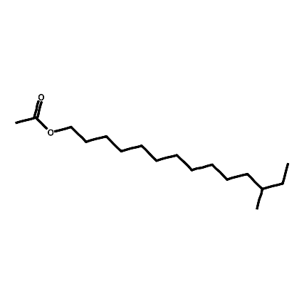 CCC(C)CCCCCCCCCCCOC(C)=O